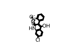 O=c1[nH]c2cc(Cl)ccc2c(O)c1-c1ccccc1[N+](=O)[O-]